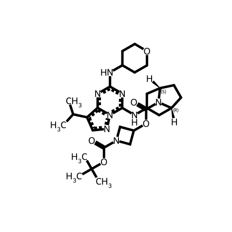 CC(C)c1cnn2c(NC3C[C@H]4CC[C@@H](C3)N4C(=O)OC3CN(C(=O)OC(C)(C)C)C3)nc(NC3CCOCC3)nc12